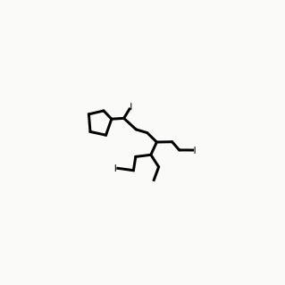 CCC(CCI)C(CCI)CCC(I)C1CCCC1